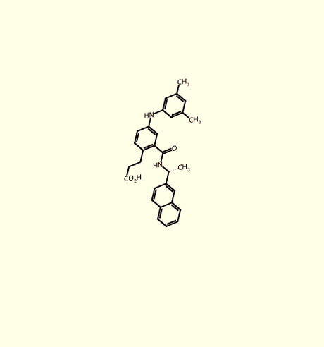 Cc1cc(C)cc(Nc2ccc(CCC(=O)O)c(C(=O)N[C@H](C)c3ccc4ccccc4c3)c2)c1